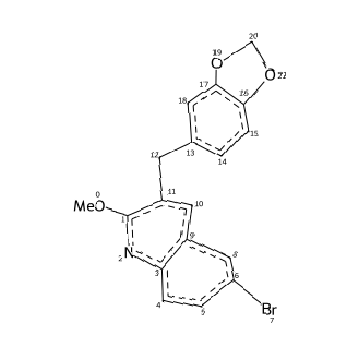 COc1nc2ccc(Br)cc2cc1Cc1ccc2c(c1)OCO2